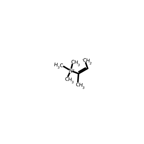 [CH2]/C=C(/C)[N+](C)(C)C